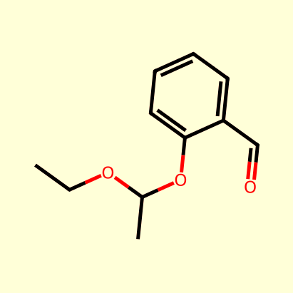 CCOC(C)Oc1ccccc1C=O